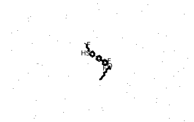 CCCCCCCC(C)Oc1c(F)cc(-c2ccc([C@H]3CC[Si@H](CCC[C@@H](C)F)CC3)cc2)cc1F